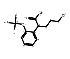 O=C(O)C(CCCCl)c1ccccc1OC(F)(F)F